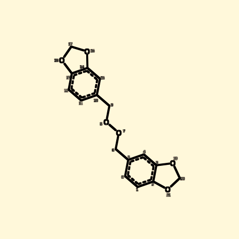 c1cc2c(cc1COOCc1ccc3c(c1)OCO3)OCO2